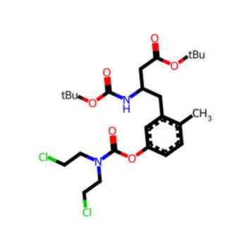 Cc1ccc(OC(=O)N(CCCl)CCCl)cc1CC(CC(=O)OC(C)(C)C)NC(=O)OC(C)(C)C